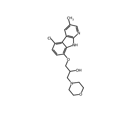 Cc1cnc2[nH]c3c(OCC(O)CN4CCOCC4)ccc(Cl)c3c2c1